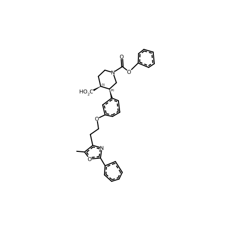 Cc1oc(-c2ccccc2)nc1CCOc1cccc([C@@H]2CN(C(=O)Oc3ccccc3)CC[C@@H]2C(=O)O)c1